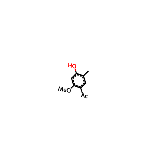 COc1cc(O)c(C)cc1C(C)=O